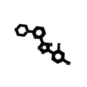 Fc1cc(Br)ccc1-c1nnc(-c2cccc(N3CCOCC3)n2)[nH]1